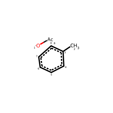 CC([O])=O.Cc1ccccc1